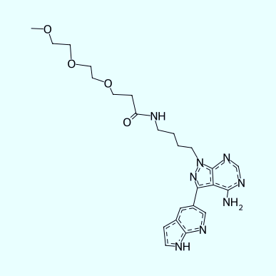 COCCOCCOCCC(=O)NCCCCn1nc(-c2cnc3[nH]ccc3c2)c2c(N)ncnc21